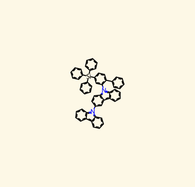 c1ccc(-c2ccc([Si](c3ccccc3)(c3ccccc3)c3ccccc3)cc2-n2c3ccccc3c3cc(-n4c5ccccc5c5ccccc54)ccc32)cc1